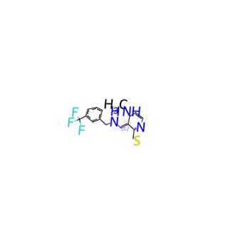 CNC1C=CN=C(C=S)/C1=C/NCc1cccc(C(F)(F)F)c1